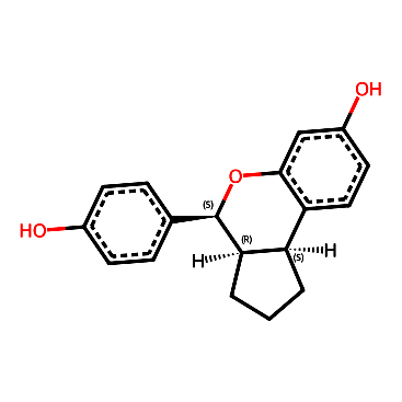 Oc1ccc([C@H]2Oc3cc(O)ccc3[C@H]3CCC[C@H]32)cc1